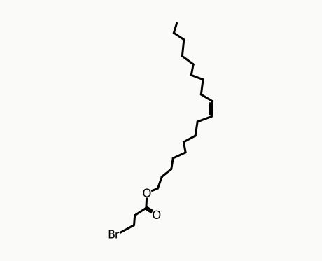 CCCCCCCC/C=C\CCCCCCCCOC(=O)CCBr